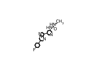 CCNC(=O)Nc1cncc(-c2cnn3cc(-c4ccc(F)cc4)cnc23)c1